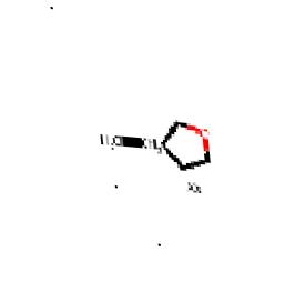 C1CCOC1.C=C.[Xe]